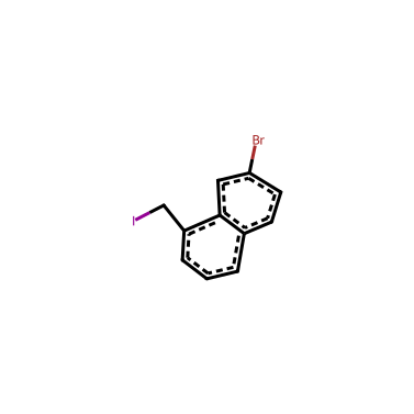 Brc1ccc2cccc(CI)c2c1